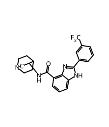 O=C(NC1CN2CCC1CC2)c1cccc2[nH]c(-c3cccc(C(F)(F)F)c3)nc12